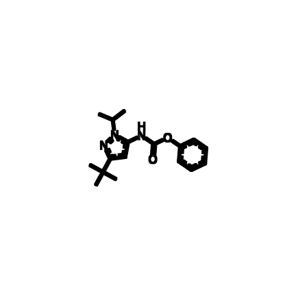 CC(C)n1nc(C(C)(C)C)cc1NC(=O)Oc1ccccc1